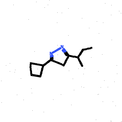 CCC(C)C1=NN=C(C2CCC2)C1